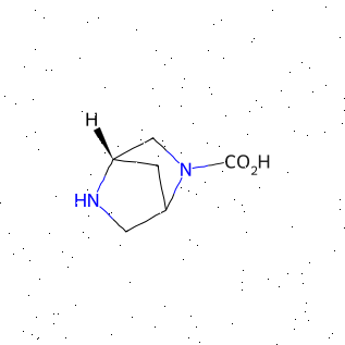 O=C(O)N1C[C@@H]2CC1CN2